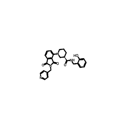 O=C(NCc1ccccc1O)[C@@H]1CCCN(c2cccc3c2C(=O)N(Cc2ccncc2)C3=O)C1